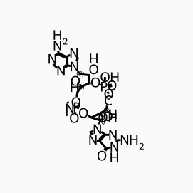 CN(C)P1(=O)OC[C@H]2O[C@@H](n3cnc4c(N)ncnc43)C(O)C2OP(=O)(O)OC[C@H]2O[C@@H](n3cnc4c(=O)[nH]c(N)nc43)C(O1)C2O